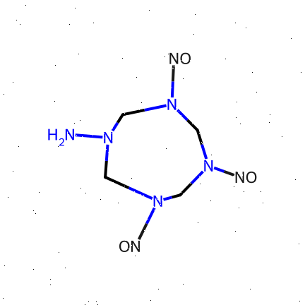 NN1CN(N=O)CN(N=O)CN(N=O)C1